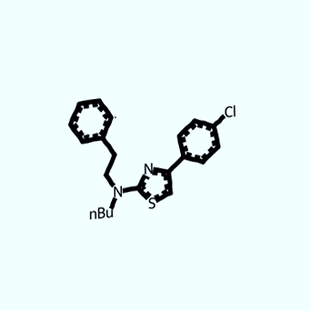 CCCCN(CCc1[c]cccc1)c1nc(-c2ccc(Cl)cc2)cs1